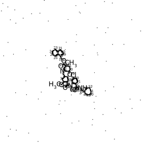 COc1cc(C#N)c(O[C@H]2CC[C@@](C)(C(=O)OCc3cccc4ccccc34)CC2)cc1C(=O)N(C)c1cc(Cl)ccc1C(=O)NCC1CCCCCC1